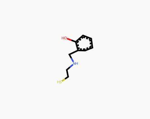 Oc1ccccc1CNCCS